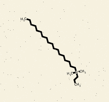 [CH2]CC[N+](C)(C)CCCCCCCCCCCCCCCCCC